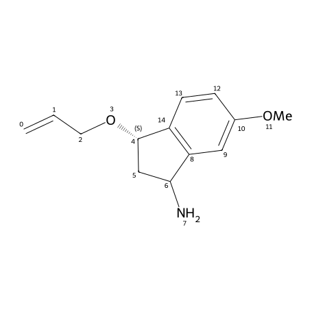 C=CCO[C@H]1CC(N)c2cc(OC)ccc21